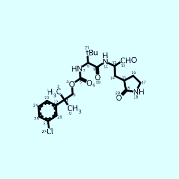 CC(C)(COC(=O)NC(C(=O)NC(C=O)CC1CCNC1=O)C(C)(C)C)c1cccc(Cl)c1